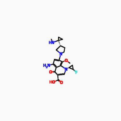 CNC1([C@@H]2CCN(c3cc(N)c4c(=O)c(C(=O)O)cn([C@@H]5C[C@H]5F)c4c3OC)C2)CC1